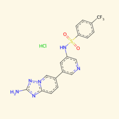 Cl.Nc1nc2ccc(-c3cncc(NS(=O)(=O)c4ccc(C(F)(F)F)cc4)c3)cn2n1